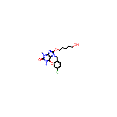 Cn1c(=O)[nH]c(=O)c2c1nc(OCCCCCO)n2Cc1ccc(Cl)cc1